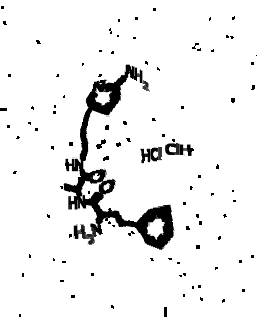 CC(NC(=O)C(N)CCc1ccccc1)C(=O)NCCc1ccc(N)nc1.Cl.Cl